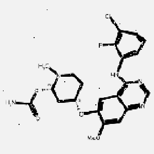 COc1cc2ncnc(Nc3cccc(Cl)c3F)c2cc1O[C@H]1CCN(C)[C@@H](OC(N)=O)C1